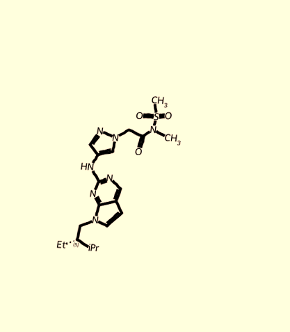 CC[C@H](Cn1ccc2cnc(Nc3cnn(CC(=O)N(C)S(C)(=O)=O)c3)nc21)C(C)C